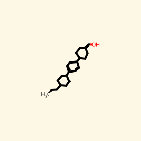 CCCC1CCC(c2ccc(C3CCC(=CO)CC3)cc2)CC1